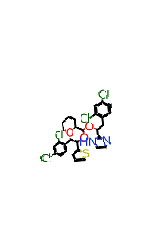 Clc1ccc(CC(O[C@@H](OC(Cc2ccc(Cl)cc2Cl)c2cccs2)C2CCCCO2)c2ncc[nH]2)c(Cl)c1